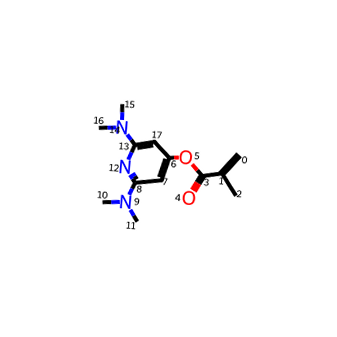 C=C(C)C(=O)Oc1cc(N(C)C)nc(N(C)C)c1